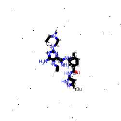 C=C/N=C1/C(N)=NC(N2CCCN(C)CC2)=N/C1=C(/N)Nc1cc(C(=O)Nc2cc(C(C)(C)C)n[nH]2)ccc1C